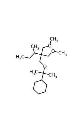 CCC(C)C(COC)(COC)COC(C)(C)C1CCCCC1